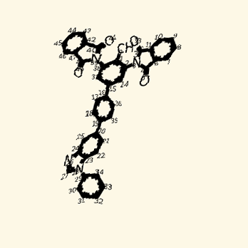 Cc1c(N2C(=O)c3ccccc3C2=O)cc(-c2ccc(-c3ccc4c(c3)ncn4-c3ccccc3)cc2)cc1N1C(=O)c2ccccc2C1=O